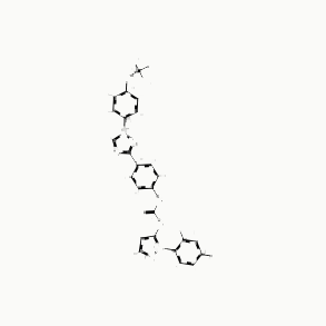 Cc1cc(Cl)ccc1-n1nccc1NC(=O)Nc1ccc(-c2ncn(-c3ccc(OC(F)(F)F)cc3)n2)cc1